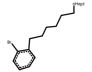 CCCCCCCCCCCCCc1ccccc1Br